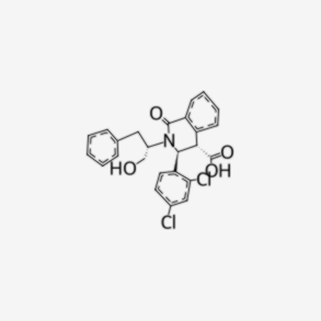 O=C(O)[C@H]1c2ccccc2C(=O)N([C@H](CO)Cc2ccccc2)[C@@H]1c1ccc(Cl)cc1Cl